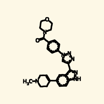 CN1CC=C(c2ccc3[nH]nc(-c4cn(-c5ccc(C(=O)N6CCOCC6)cc5)nn4)c3c2)CC1